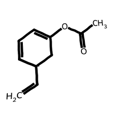 C=C[C]1C=CC=C(OC(C)=O)C1